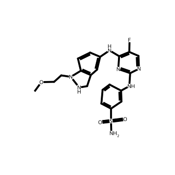 COCCN1NCc2cc(Nc3nc(Nc4cccc(S(N)(=O)=O)c4)ncc3F)ccc21